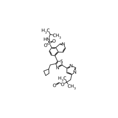 CC(C)NS(=O)(=O)c1ccc(-c2sc(-c3cc(CC(C)(C)OC=O)ncn3)nc2CC2CCC2)c2ccncc12